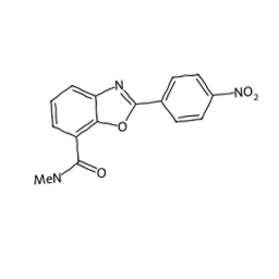 CNC(=O)c1cccc2nc(-c3ccc([N+](=O)[O-])cc3)oc12